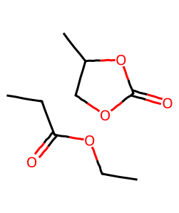 CC1COC(=O)O1.CCOC(=O)CC